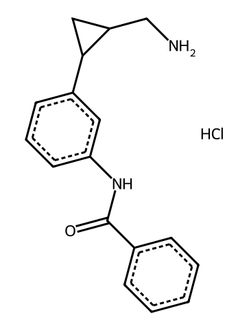 Cl.NCC1CC1c1cccc(NC(=O)c2ccccc2)c1